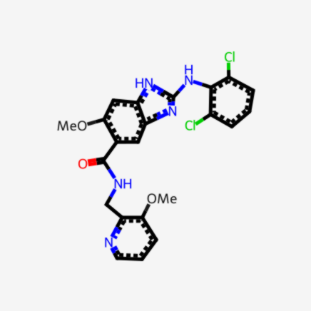 COc1cc2[nH]c(Nc3c(Cl)cccc3Cl)nc2cc1C(=O)NCc1ncccc1OC